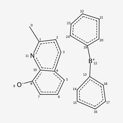 Cc1ccc2cccc([O-])c2n1.[B+](c1ccccc1)c1ccccc1